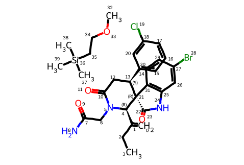 C=C(CC)[C@H]1N(CC(N)=O)C(=O)C[C@@H](c2cccc(Cl)c2)[C@]12C(=O)Nc1cc(Br)ccc12.COCC[Si](C)(C)C